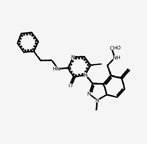 C=C1C=CC2C(=C1CNC=O)C(n1c(C)cnc(NCCc3ccccc3)c1=O)=NN2C